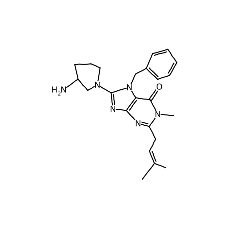 CC(C)=CCc1nc2nc(N3CCCC(N)C3)n(Cc3ccccc3)c2c(=O)n1C